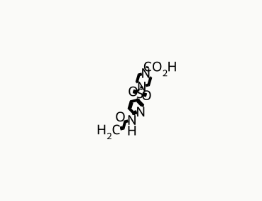 C=CC(=O)Nc1ccc(S(=O)(=O)N2CCN(C(=O)O)CC2)cn1